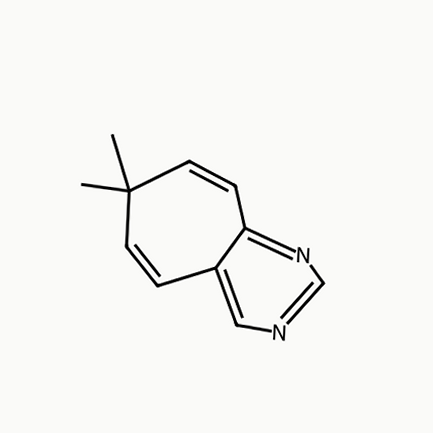 CC1(C)C=Cc2cncnc2C=C1